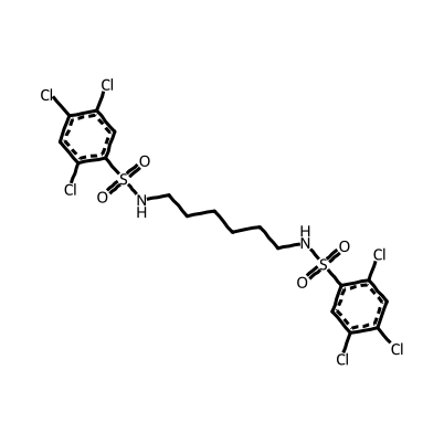 O=S(=O)(NCCCCCCNS(=O)(=O)c1cc(Cl)c(Cl)cc1Cl)c1cc(Cl)c(Cl)cc1Cl